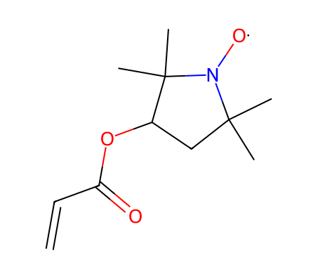 C=CC(=O)OC1CC(C)(C)N([O])C1(C)C